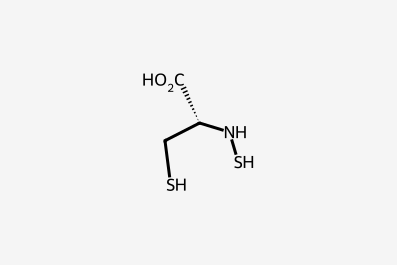 O=C(O)[C@@H](CS)NS